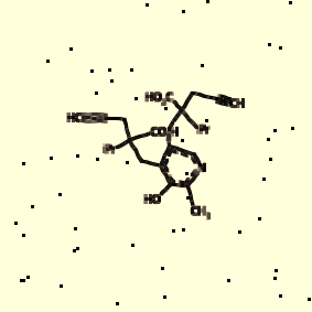 C#CCC(Cc1cnc(C)c(O)c1CC(CC#C)(C(=O)O)C(C)C)(C(=O)O)C(C)C